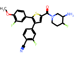 COc1ccc(-c2sc(C(=O)N3CCC(F)C(N)C3)cc2-c2ccc(C#N)c(F)c2)cc1F